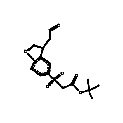 CC(C)(C)OC(=O)CS(=O)(=O)c1ccc2c(c1)C(C[C]=O)CO2